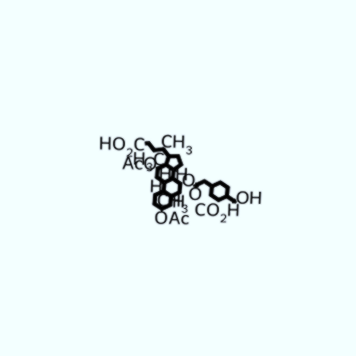 CC(=O)O[C@@H]1CC[C@@]2(C)[C@@H](C1)C[C@@H](OC(=O)CC1CCC(C(O)C(=O)O)CC1)[C@@H]1[C@@H]2C[C@H](OC(C)=O)[C@]2(C)C([C@H](C)CCC(=O)O)CC[C@@H]12